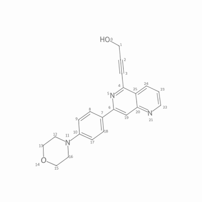 OCC#Cc1nc(-c2ccc(N3CCOCC3)cc2)cc2ncccc12